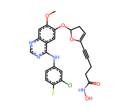 COc1cc2ncnc(Nc3ccc(F)c(Cl)c3)c2cc1OC1CC=C(C#CCCC(=O)NO)O1